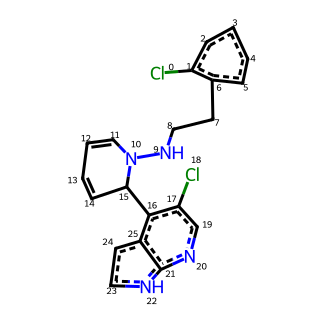 Clc1ccccc1CCNN1C=CC=CC1c1c(Cl)cnc2[nH]ccc12